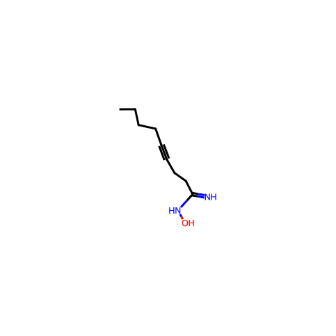 CCCCC#CCCC(=N)NO